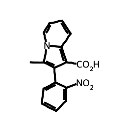 Cc1c(-c2ccccc2[N+](=O)[O-])c(C(=O)O)c2ccccn12